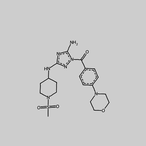 CS(=O)(=O)N1CCC(Nc2nc(N)n(C(=O)c3ccc(N4CCOCC4)cc3)n2)CC1